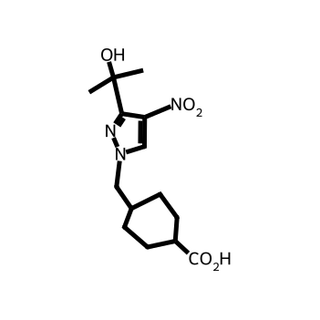 CC(C)(O)c1nn(CC2CCC(C(=O)O)CC2)cc1[N+](=O)[O-]